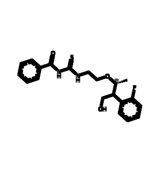 C[C@@H](OCCNC(=S)NC(=O)c1ccccc1)C(CO)c1ccccc1F